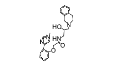 Cn1cnc(-c2ccccc2OCC(=O)NCC(O)CN2CCc3ccccc3C2)c1